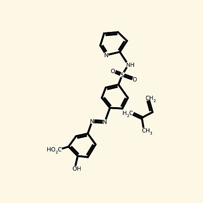 C=CC(=C)C.O=C(O)c1cc(/N=N/c2ccc(S(=O)(=O)Nc3ccccn3)cc2)ccc1O